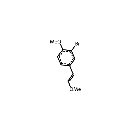 COC=Cc1ccc(OC)c(Br)c1